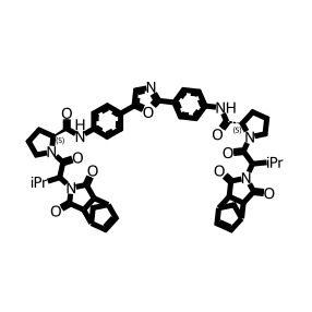 CC(C)C(C(=O)N1CCC[C@H]1C(=O)Nc1ccc(-c2cnc(-c3ccc(NC(=O)[C@@H]4CCCN4C(=O)C(C(C)C)N4C(=O)C5C6C=CC(C6)C5C4=O)cc3)o2)cc1)N1C(=O)C2C3C=CC(C3)C2C1=O